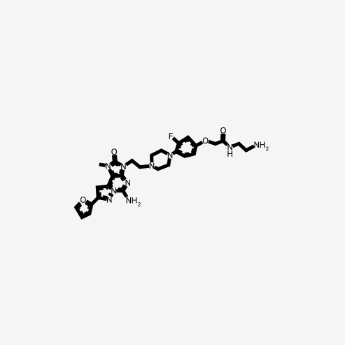 Cn1c(=O)n(CCN2CCN(c3ccc(OCC(=O)NCCN)cc3F)CC2)c2nc(N)n3nc(-c4ccco4)cc3c21